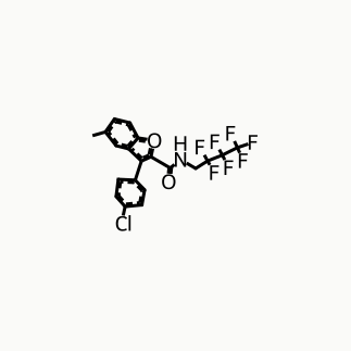 Cc1ccc2oc(C(=O)NCC(F)(F)C(F)(F)C(F)(F)F)c(-c3ccc(Cl)cc3)c2c1